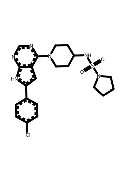 O=S(=O)(NC1CCN(c2ncnc3[nH]c(-c4ccc(Cl)cc4)cc23)CC1)N1CCCC1